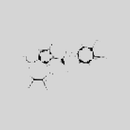 CC1N[S+]([O-])c2cn(C)c(C(=O)Nc3ccc(F)c(F)c3)c2OC1C